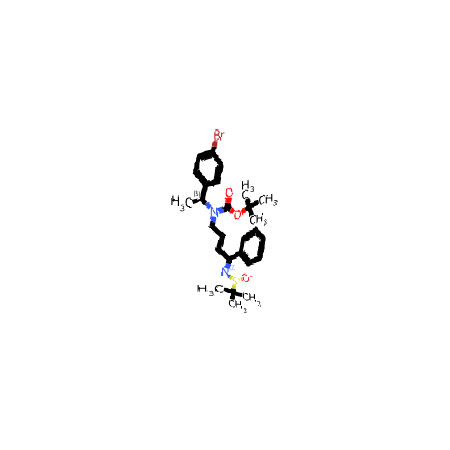 C[C@@H](c1ccc(Br)cc1)N(CCC/C(=N/[S+]([O-])C(C)(C)C)c1ccccc1)C(=O)OC(C)(C)C